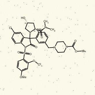 COc1ccc(S(=O)(=O)N2C(=O)C(c3cc(CN4CCN(C(=O)OC(C)(C)C)CC4)ccc3OC)(N3C[C@H](O)C[C@H]3C(=O)N(C)C)c3cc(Cl)ccc32)c(OC(F)(F)F)c1